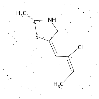 C/C=C(Cl)\C=C1/CN[C@@H](C)S1